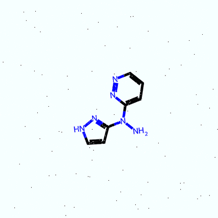 NN(c1cccnn1)c1cc[nH]n1